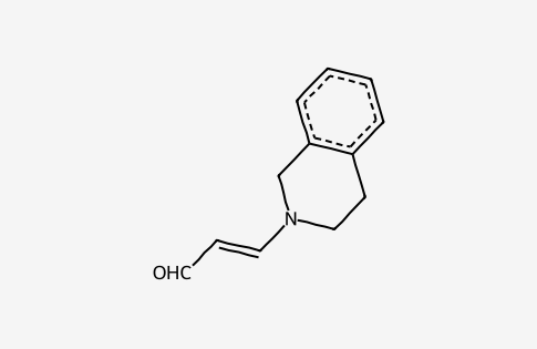 O=CC=CN1CCc2ccccc2C1